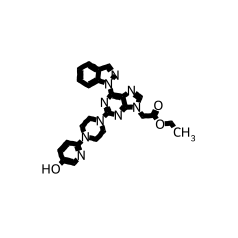 CCOC(=O)Cn1cnc2c(-n3ncc4ccccc43)nc(N3CCN(c4ccc(O)cn4)CC3)nc21